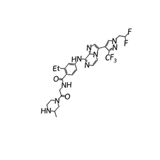 CCc1cc(Nc2nccn3c(-c4cn(CC(F)F)nc4C(F)(F)F)cnc23)ccc1C(=O)NCC(=O)N1CCNC(C)C1